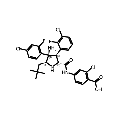 CC(C)(C)C[C@@H]1N[C@@H](C(=O)Nc2ccc(C(=O)O)c(Cl)c2)[C@H](c2cccc(Cl)c2F)[C@@]1(N)c1ccc(Cl)cc1F